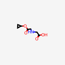 O=C(O)CNCC(=O)OC1CC1